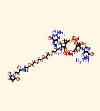 Nc1nc2c(ncn2[C@@H]2O[C@@H]3COP(=O)(O)O[C@@H]4[C@H](O)[C@H](n5cnc6c(=O)[nH]c(N)nc65)O[C@@H]4COP(=O)(O)O[C@@H]3C2NC(=O)CCOCCOCCOCCOCCNC(=O)CCN2C(=O)C=CC2=O)c(=O)[nH]1